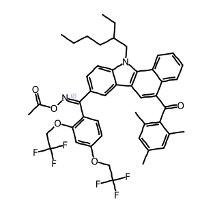 CCCCC(CC)Cn1c2ccc(/C(=N/OC(C)=O)c3ccc(OCC(F)(F)F)cc3OCC(F)(F)F)cc2c2cc(C(=O)c3c(C)cc(C)cc3C)c3ccccc3c21